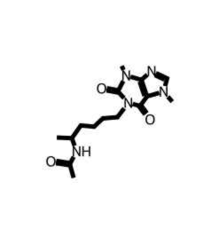 CC(=O)NC(C)CCCCn1c(=O)c2c(ncn2C)n(C)c1=O